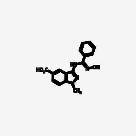 Cn1nc(NC(=NO)c2ccccc2)c2cc(C(=O)O)ccc21